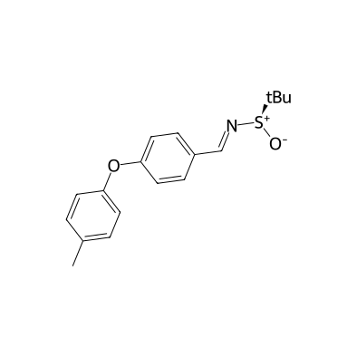 Cc1ccc(Oc2ccc(/C=N/[S@+]([O-])C(C)(C)C)cc2)cc1